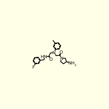 Cc1cccc(N(CC(=O)NCc2cccc(F)c2)CC(=O)N2CCC(N)C2)c1